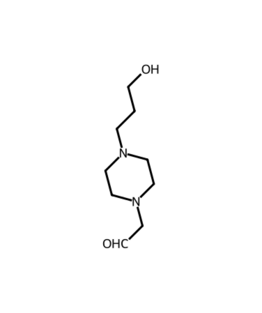 O=CCN1CCN(CCCO)CC1